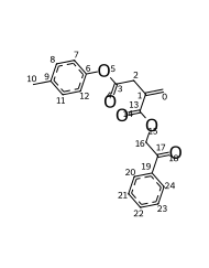 C=C(CC(=O)Oc1ccc(C)cc1)C(=O)OCC(=O)c1ccccc1